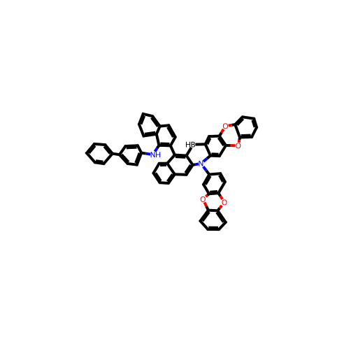 B1c2cc3c(cc2N(c2ccc4c(c2)Oc2ccccc2O4)c2cc4ccccc4c(-c4ccc5ccccc5c4Nc4ccc(-c5ccccc5)cc4)c21)Oc1ccccc1O3